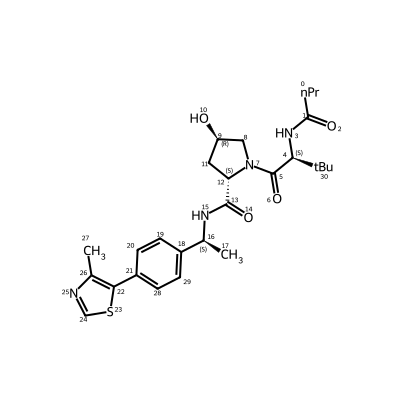 CCCC(=O)N[C@H](C(=O)N1C[C@H](O)C[C@H]1C(=O)N[C@@H](C)c1ccc(-c2scnc2C)cc1)C(C)(C)C